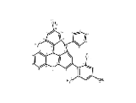 Cc1cc(C)c(-c2cc3c4c(c2)N(c2ccccc2)c2cc(C)cc(C)c2B4c2ccccc2O3)c(C)c1